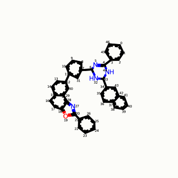 c1ccc(C2=NC(c3cccc(-c4ccc5ccc6oc(-c7ccccc7)nc6c5c4)c3)NC(c3ccc4ccccc4c3)N2)cc1